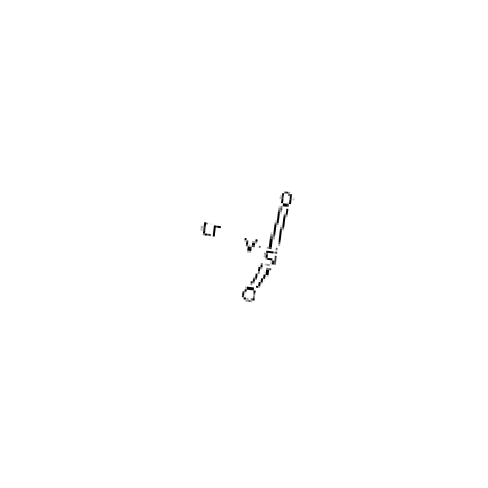 O=[Si]=O.[Cr].[V]